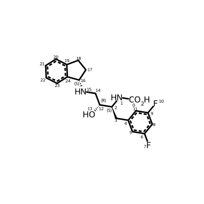 O=C(O)N[C@@H](Cc1cc(F)cc(F)c1)[C@H](O)CN[C@H]1CCc2ccccc21